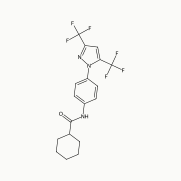 O=C(Nc1ccc(-n2nc(C(F)(F)F)cc2C(F)(F)F)cc1)C1CCCCC1